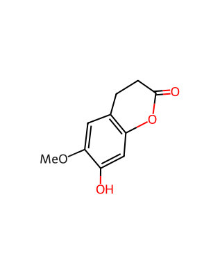 COc1cc2c(cc1O)OC(=O)CC2